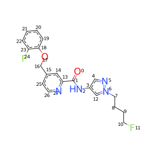 O=C(Nc1cnn(CCCCF)c1)c1cc(COc2ccccc2F)ccn1